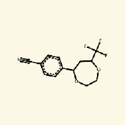 N#Cc1ccc(C2CC(C(F)(F)F)OCCO2)cc1